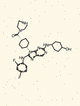 O=C([C@H]1CC[C@@H](n2c(Nc3ccc(F)cc3F)nc3cnc(NC4CCC(O)CC4)nc32)CC1)N1CCNCC1